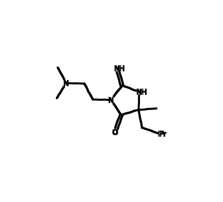 CC(C)CC1(C)NC(=N)N(CCN(C)C)C1=O